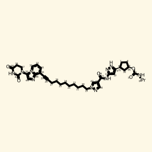 CC(C)NC(=O)O[C@@H]1CC[C@H](c2cc(NC(=O)c3cnn(CCCCCCCCCC#Cc4cccn5c(N6CCC(=O)NC6=O)cnc45)c3)n[nH]2)C1